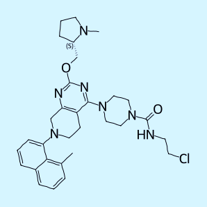 Cc1cccc2cccc(N3CCc4c(nc(OC[C@@H]5CCCN5C)nc4N4CCN(C(=O)NCCCl)CC4)C3)c12